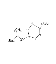 CC(OC1CCC(C(C)(C)C)CC1)C(C)(C)C